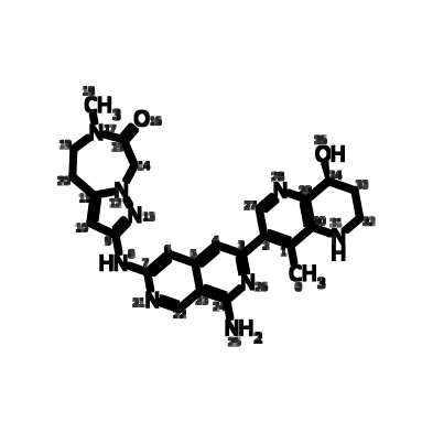 Cc1c(-c2cc3cc(Nc4cc5n(n4)CC(=O)N(C)CC5)ncc3c(N)n2)cnc2c1NCC[C@@H]2O